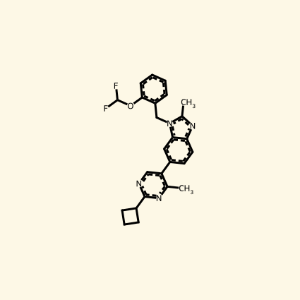 Cc1nc(C2CCC2)ncc1-c1ccc2nc(C)n(Cc3ccccc3OC(F)F)c2c1